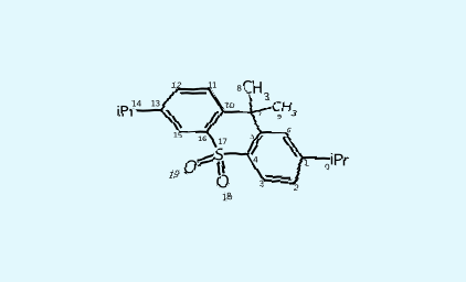 CC(C)c1ccc2c(c1)C(C)(C)c1ccc(C(C)C)cc1S2(=O)=O